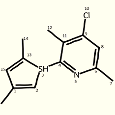 CC1=C[SH](c2nc(C)cc(Cl)c2C)C(C)=C1